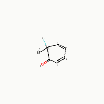 [CH2]CC1(F)C=CC=CC1=O